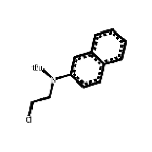 CC(C)(C)N(CCCl)c1ccc2ccccc2c1